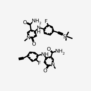 C#Cc1ccc(Nc2cc(=O)n(C)cc2C(N)=O)c(F)c1.Cn1cc(C(N)=O)c(Nc2ccc(C#C[Si](C)(C)C)cc2F)cc1=O